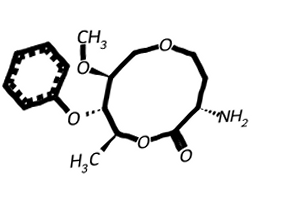 CO[C@H]1COCC[C@H](N)C(=O)O[C@@H](C)[C@@H]1Oc1ccccc1